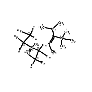 CN=C(N(C)C)[N+](C)(C)C.O=P([O-])(C(F)(F)C(F)(F)F)C(F)(F)C(F)(F)F